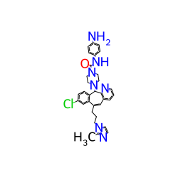 Cc1nccn1CCCC1=Cc2cccnc2C(N2CCN(C(=O)Nc3ccc(N)cc3)CC2)c2ccc(Cl)cc21